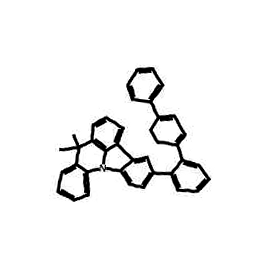 CC1(C)c2ccccc2-n2c3ccc(-c4ccccc4C4=CC=C(c5ccccc5)CC4)cc3c3cccc1c32